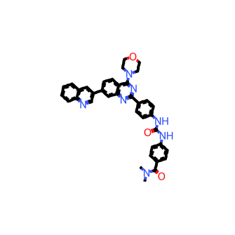 CN(C)C(=O)c1ccc(NC(=O)Nc2ccc(-c3nc(N4CCOCC4)c4ccc(-c5cnc6ccccc6c5)cc4n3)cc2)cc1